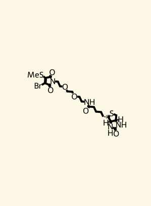 CSC1=C(Br)C(=O)N(CCOCCOCCNC(=O)CCCC[C@@H]2SC[C@@H]3NC(=O)N[C@@H]32)C1=O